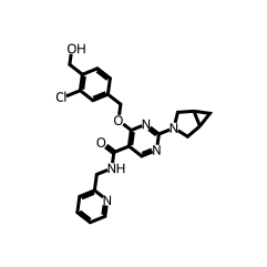 O=C(NCc1ccccn1)c1cnc(N2CC3CC3C2)nc1OCc1ccc(CO)c(Cl)c1